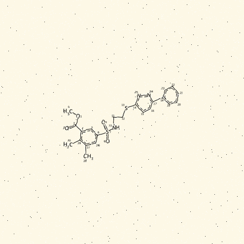 COC(=O)c1cc(S(=O)(=O)NCCSc2ccc(-c3ccccc3)nn2)cc(C)c1C